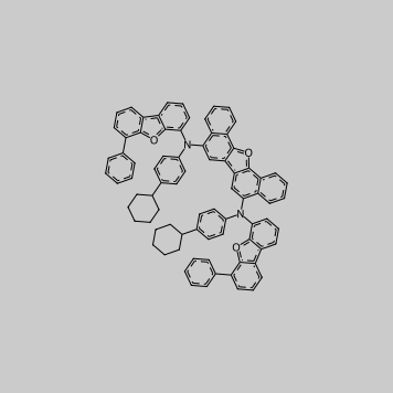 c1ccc(-c2cccc3c2oc2c(N(c4ccc(C5CCCCC5)cc4)c4cc5c6cc(N(c7ccc(C8CCCCC8)cc7)c7cccc8c7oc7c(-c9ccccc9)cccc78)c7ccccc7c6oc5c5ccccc45)cccc23)cc1